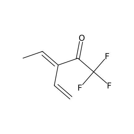 C=C/C(=C\C)C(=O)C(F)(F)F